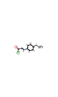 CC(C)Cc1ccc(/C=C/C(=O)Cl)cc1